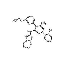 CC1=CC(c2ccccc2Cl)N=C(Nc2nc3ccccc3o2)N1c1cccc(CCO)c1